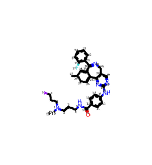 CCCN(CCCI)CCCNC(=O)c1ccc(Nc2ncc3c(n2)C2=CCC(C)C=C2C(c2ccccc2F)=NC3)cc1